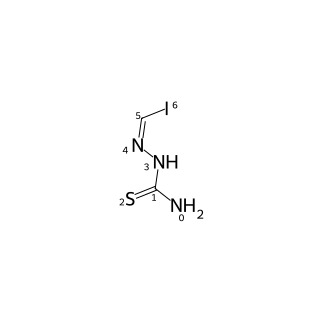 NC(=S)N/N=C\I